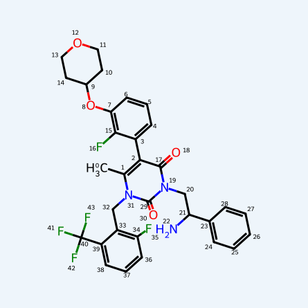 Cc1c(-c2cccc(OC3CCOCC3)c2F)c(=O)n(CC(N)c2ccccc2)c(=O)n1Cc1c(F)cccc1C(F)(F)F